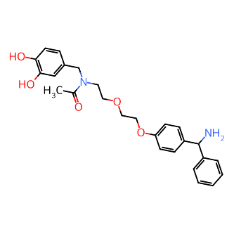 CC(=O)N(CCOCCOc1ccc(C(N)c2ccccc2)cc1)Cc1ccc(O)c(O)c1